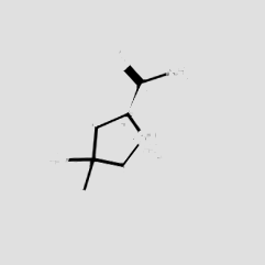 CC1(O)CN[C@H](C(N)=O)C1.Cl